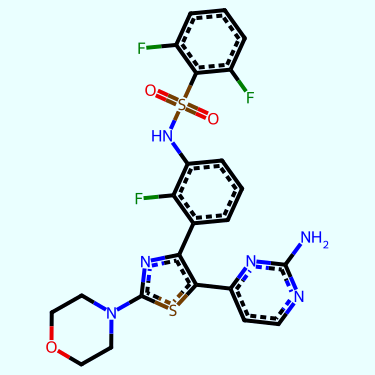 Nc1nccc(-c2sc(N3CCOCC3)nc2-c2cccc(NS(=O)(=O)c3c(F)cccc3F)c2F)n1